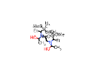 CCC(N(CCN(C(C)O)C(CC)[Si](C)(OC)OC)C(C)O)[Si](C)(OC)OC